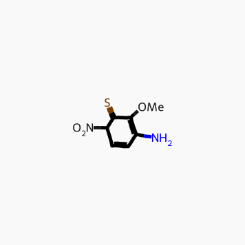 COC1=C(N)C=CC([N+](=O)[O-])C1=S